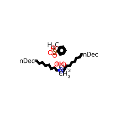 CCCCCCCCCCCCCCCCC(O)C[N+](C)(C)CC(O)CCCCCCCCCCCCCCCC.Cc1ccccc1S(=O)(=O)[O-]